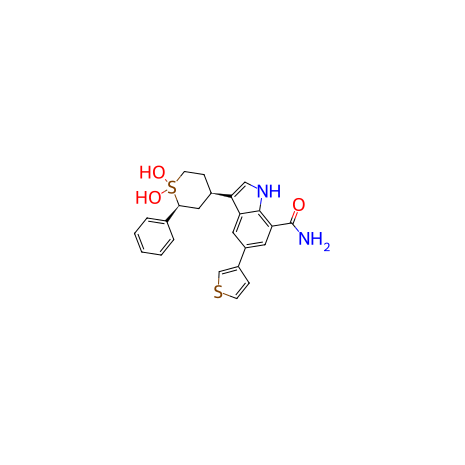 NC(=O)c1cc(-c2ccsc2)cc2c([C@@H]3CCS(O)(O)[C@H](c4ccccc4)C3)c[nH]c12